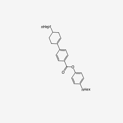 CCCCCCCC1CC=C(c2ccc(C(=O)Oc3ccc(CCCCCC)cc3)cc2)CC1